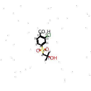 CC(C)(O)CS(=O)(=O)c1ccc(C(=O)O)c(Cl)c1